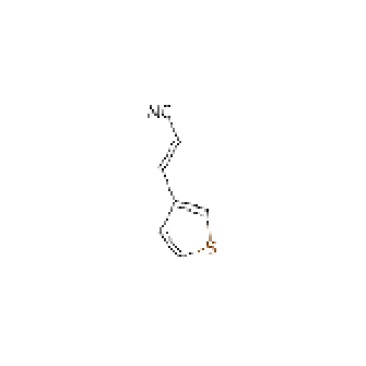 N#C/C=C/c1ccsc1